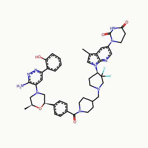 Cc1cn([C@@H]2CCN(CC3CCN(C(=O)c4ccc([C@@H]5CN(c6cc(-c7ccccc7O)nnc6N)C[C@H](C)O5)cc4)CC3)CC2(F)F)c2ncc(N3CCC(=O)NC3=O)cc12